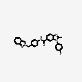 Cc1nc2ccc(C(=O)Nc3ccc(Cn4cc5ccccc5n4)cc3)cc2n1-c1ccc(F)cc1